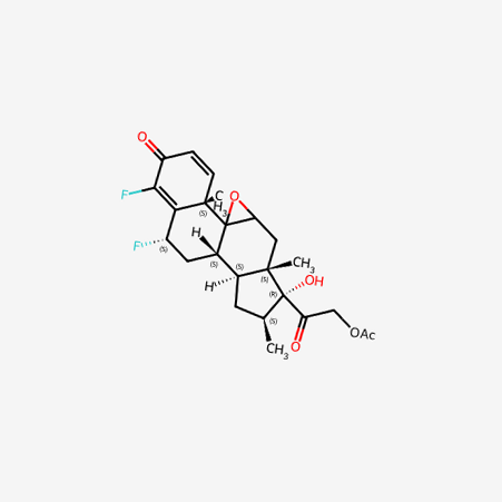 CC(=O)OCC(=O)[C@@]1(O)[C@@H](C)C[C@H]2[C@@H]3C[C@H](F)C4=C(F)C(=O)C=C[C@]4(C)C34OC4C[C@@]21C